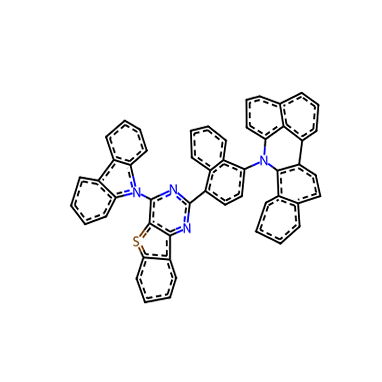 c1ccc2c3c(ccc2c1)-c1cccc2cccc(c12)N3c1ccc(-c2nc(-n3c4ccccc4c4ccccc43)c3sc4ccccc4c3n2)c2ccccc12